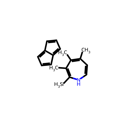 C1=CC2=CC=CC2=C1.CC1=C(C)C(C)=C([SiH3])NC=C1